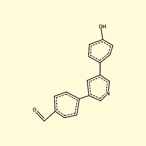 O=Cc1ccc(-c2cncc(-c3ccc(O)cc3)c2)cc1